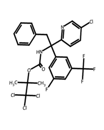 CC(C)(OC(=O)NC(Cc1ccccc1)(c1cc(F)cc(C(F)(F)F)c1)c1ccc(Cl)cn1)C(Cl)(Cl)Cl